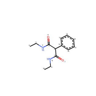 CCNC(=O)C(C(=O)NCC)c1ccccc1